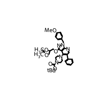 COc1ccc(Cn2nc(OCC3COC(C)(C)O3)c3c(N4CCN(C(=O)OC(C)(C)C)CC4)c(-c4ccccc4)cnc32)cc1